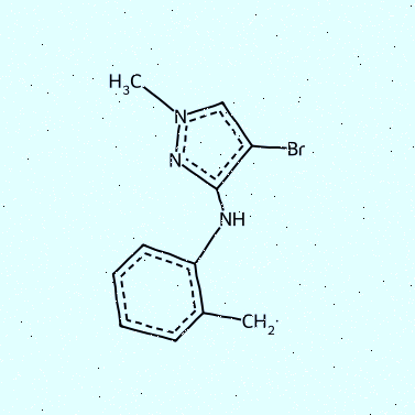 [CH2]c1ccccc1Nc1nn(C)cc1Br